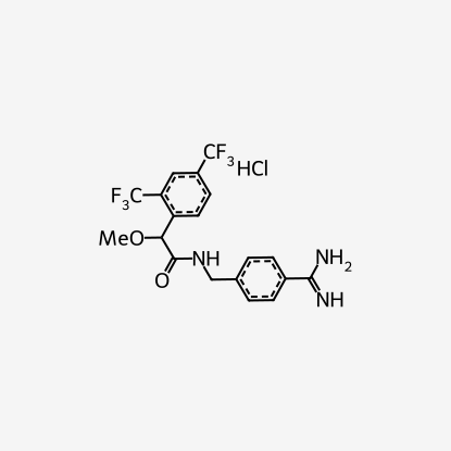 COC(C(=O)NCc1ccc(C(=N)N)cc1)c1ccc(C(F)(F)F)cc1C(F)(F)F.Cl